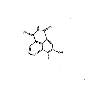 Cc1c(O)cc2c3c(cccc13)C(=N)NC2=O